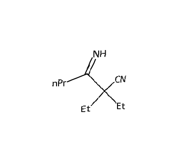 CCCC(=N)C(C#N)(CC)CC